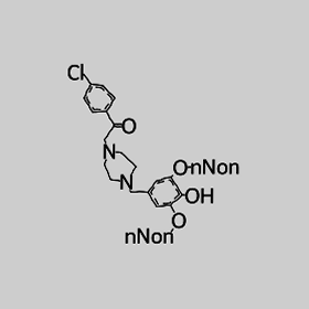 CCCCCCCCCOc1cc(CN2CCN(CC(=O)c3ccc(Cl)cc3)CC2)cc(OCCCCCCCCC)c1O